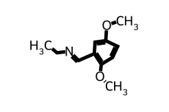 CC/N=C/c1cc(OC)ccc1OC